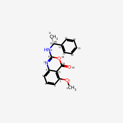 COc1cccc2nc(N[C@H](C)c3ccccc3)oc(=O)c12